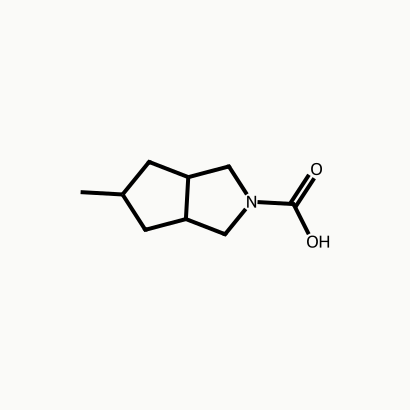 CC1CC2CN(C(=O)O)CC2C1